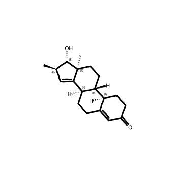 C[C@@H]1C=C2[C@@H]3CCC4=CC(=O)CC[C@@H]4[C@H]3CC[C@]2(C)[C@H]1O